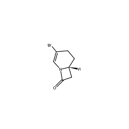 O=C1C[C@H]2CCC(Br)=CN12